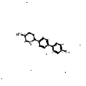 CCCC1CCC(c2ccc(-c3ccc(F)cc3)cc2)OC1